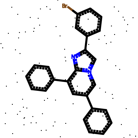 Brc1cccc(-c2cn3cc(-c4ccccc4)cc(-c4ccccc4)c3n2)c1